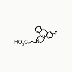 O=C(O)CCCN1CCN2c3ccc(F)cc3Cc3ccccc3C2C1